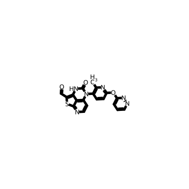 Cc1nc(Oc2cccnn2)ccc1N1C(=O)Nc2c(C=O)sc3nccc1c23